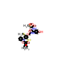 CCCCC1(CCCC)C(=O)[SH]c2cc(OCC(=O)N[C@@H](C(=O)NC(C[S@+](C)[O-])C(=O)O)c3ccc(O)cc3)c(SC)cc2N(c2ccccc2)C1=O